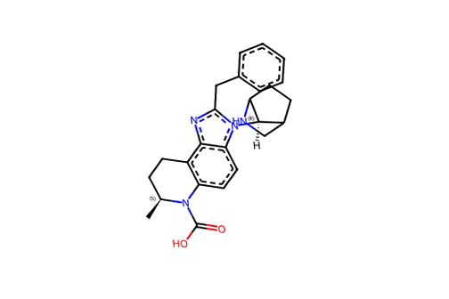 C[C@H]1CCc2c(ccc3c2nc(Cc2ccccc2)n3[C@@H]2C3CCC2NC3)N1C(=O)O